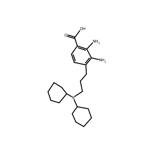 Nc1c(CCCN(C2CCCCC2)C2CCCCC2)ccc(C(=O)O)c1N